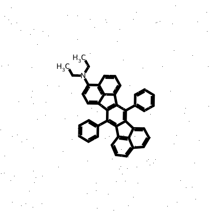 CCN(CC)c1ccc2c3c(-c4ccccc4)c4c5cccc6cccc(c4c(-c4ccccc4)c3c3cccc1c32)c65